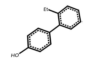 CCc1cc[c]cc1-c1ccc(O)cc1